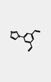 C=Cc1cc(C=C)cc(-n2ccnc2)c1